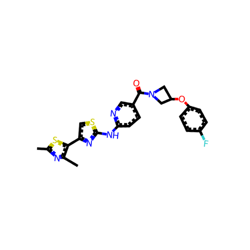 Cc1nc(C)c(-c2csc(Nc3ccc(C(=O)N4CC(Oc5ccc(F)cc5)C4)cn3)n2)s1